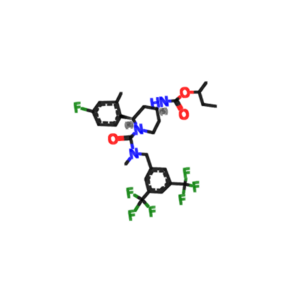 CCC(C)OC(=O)N[C@H]1CCN(C(=O)N(C)Cc2cc(C(F)(F)F)cc(C(F)(F)F)c2)[C@@H](c2ccc(F)cc2C)C1